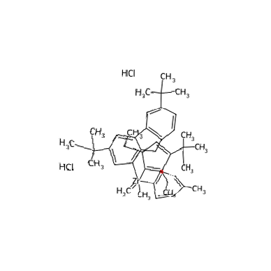 Cl.Cl.[CH2]=[Zr]([CH3])([C]1=C(CC)C(C(C)(C)C)=CC1CC)([c]1ccc(C)cc1)[c]1cc(C(C)(C)C)cc2c1Cc1ccc(C(C)(C)C)cc1-2